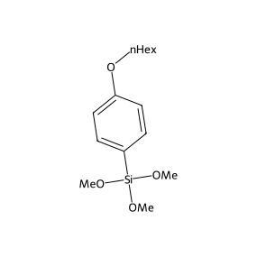 CCCCCCOc1ccc([Si](OC)(OC)OC)cc1